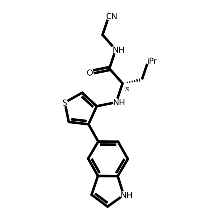 CC(C)C[C@H](Nc1cscc1-c1ccc2[nH]ccc2c1)C(=O)NCC#N